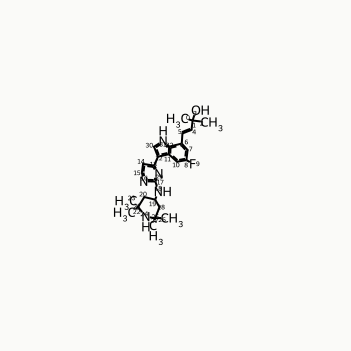 CC(C)(O)C=Cc1cc(F)cc2c(-c3ccnc(NC4CC(C)(C)NC(C)(C)C4)n3)c[nH]c12